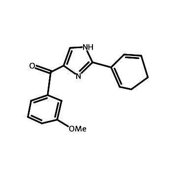 COc1cccc(C(=O)c2c[nH]c(C3=CCCC=C3)n2)c1